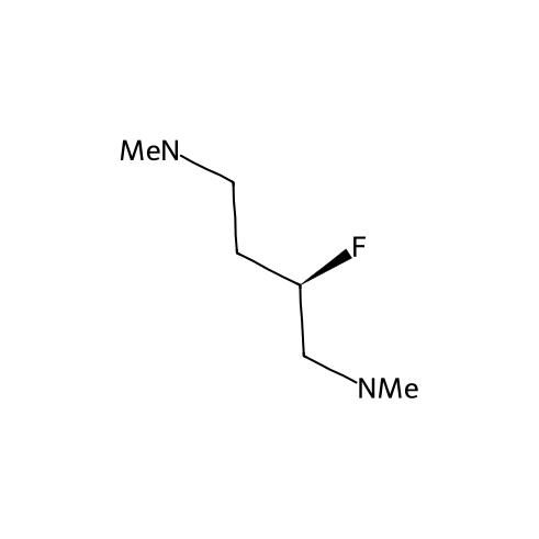 CNCC[C@@H](F)CNC